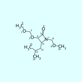 COCOC1C(=O)N(COC)C1CC(C)C